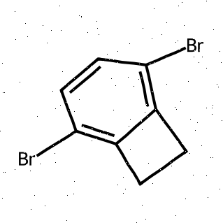 Brc1ccc(Br)c2c1CC2